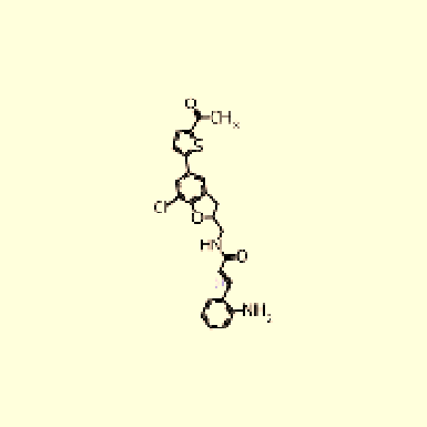 CC(=O)c1ccc(-c2cc(Cl)c3c(c2)CC(CNC(=O)/C=C/c2ccccc2N)O3)s1